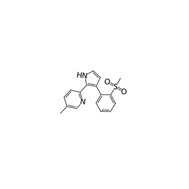 Cc1ccc(-c2[nH]ccc2-c2ccccc2S(C)(=O)=O)nc1